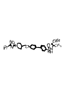 COCC(C)NS(=O)(=O)c1ccc(-c2ccc(OCC3CCN(c4nc(C(C)C)no4)CC3)cc2)cc1